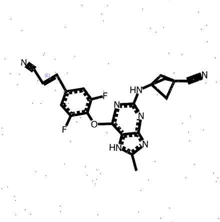 Cc1nc2nc(NC34CC(C#N)(C3)C4)nc(Oc3c(F)cc(/C=C/C#N)cc3F)c2[nH]1